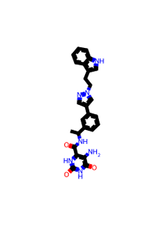 CC(NC(=O)c1[nH]c(=O)[nH]c(=O)c1N)c1cccc(-c2cnn(CCc3c[nH]c4ccccc34)c2)c1